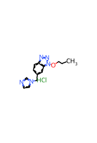 CCCOn1nnc2ccc(Cn3ccnc3)cc21.Cl